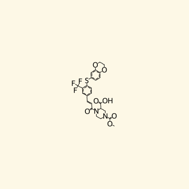 COC(=O)N1CCN(C(=O)/C=C/c2ccc(Sc3ccc4c(c3)OCCO4)c(C(F)(F)F)c2)C(C(=O)O)C1